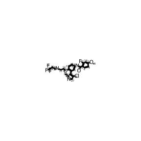 COc1ccc(C(=O)Nc2ccc(OCCNCCC(F)(F)F)c(-c3c(Cl)cnn3C)c2)c(F)c1